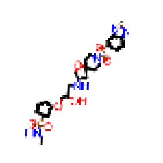 CCNS(=O)(=O)c1cccc(OCC(O)CNC2COC3(CCN(S(=O)(=O)c4ccc5nsnc5c4)CC3)C2)c1